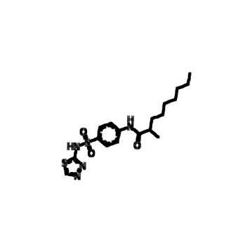 CCCCCCCC(C)C(=O)Nc1ccc(S(=O)(=O)Nc2nncs2)cc1